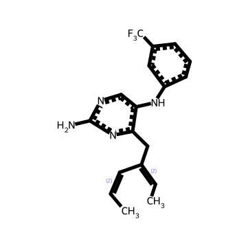 C/C=C\C(=C/C)Cc1nc(N)ncc1Nc1cccc(C(F)(F)F)c1